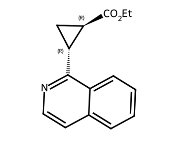 CCOC(=O)[C@@H]1C[C@H]1c1nccc2ccccc12